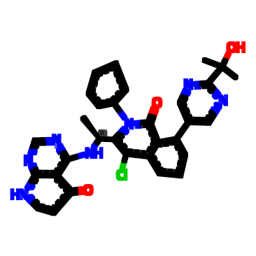 C[C@H](Nc1ncnc2[nH]ccc(=O)c12)c1c(Cl)c2cccc(-c3cnc(C(C)(C)O)nc3)c2c(=O)n1-c1ccccc1